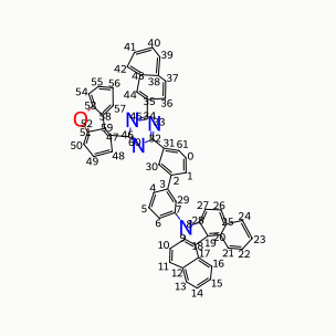 c1cc(-c2cccc(-n3c4ccc5ccccc5c4c4c5ccccc5ccc43)c2)cc(-c2nc(-c3ccc4ccccc4c3)nc(-c3cccc4oc5ccccc5c34)n2)c1